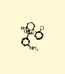 Nc1cccc(C2=N[C@]3(c4ccccc4Cl)CCC[C@H](O2)C3=O)c1